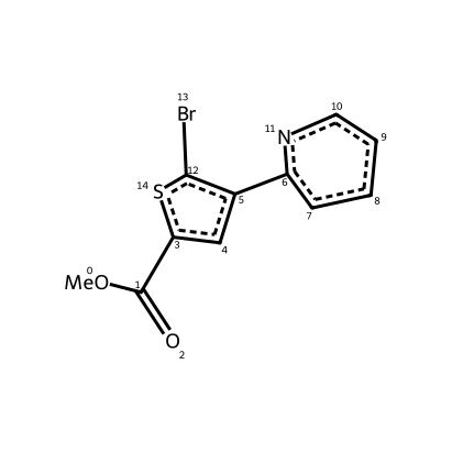 COC(=O)c1cc(-c2ccccn2)c(Br)s1